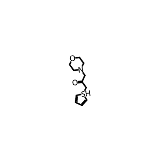 O=C(CN1CCOCC1)C[SH]1C=CC=C1